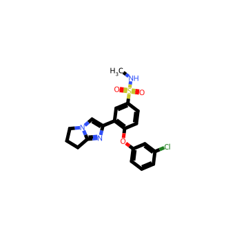 CNS(=O)(=O)c1ccc(Oc2cccc(Cl)c2)c(-c2cn3c(n2)CCC3)c1